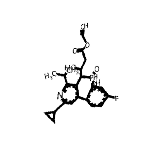 C#COC(=O)CC(O)C(c1c(-c2ccc(F)cc2)cc(C2CC2)nc1C(C)C)[PH](=O)O